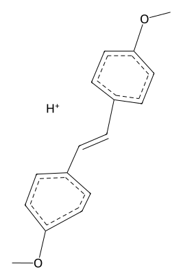 COc1ccc(C=Cc2ccc(OC)cc2)cc1.[H+]